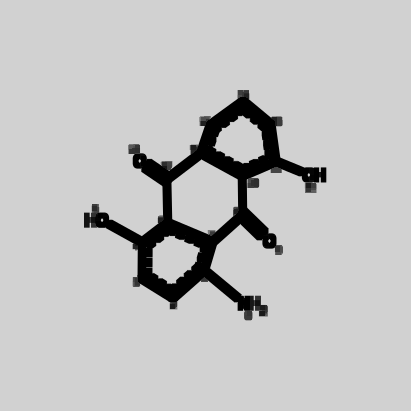 Nc1ccc(O)c2c1C(=O)c1c(O)cccc1C2=O